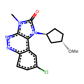 CO[C@H]1CC[C@H](n2c(=O)n(C)c3nnc4ccc(Cl)cc4c32)C1